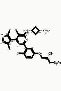 CNC[C@@H](O)COc1ccc(Cl)c(-c2nc(N[C@H]3C[C@@H](OC)C3)c(C)c(-c3c(C)noc3C)n2)c1